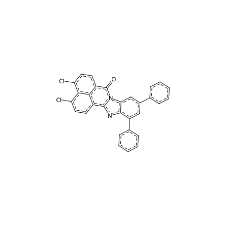 O=c1c2ccc(Cl)c3c(Cl)ccc(c32)c2nc3c(-c4ccccc4)cc(-c4ccccc4)cc3n12